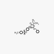 Cc1ccc(S(=O)(=O)Oc2ccc(CC(NC(=O)OCc3ccccc3)C(=O)OC(C)C)cc2)cc1